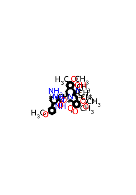 COc1ccc2[nH]c3c(c2c1)C[C@H](CN)N[C@@]3(C)C(=O)OC[C@H]1c2c3c(c(C)c(OC(C)=O)c2[C@@H](SC)[C@H]2[C@@H](N(C)C)c4c(cc(C)c(OC)c4O)C[C@H](C#N)N21)OCO3